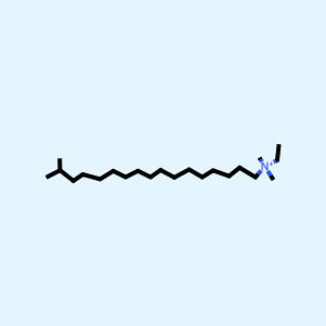 CC[N+](C)(C)CCCCCCCCCCCCCCCC(C)C